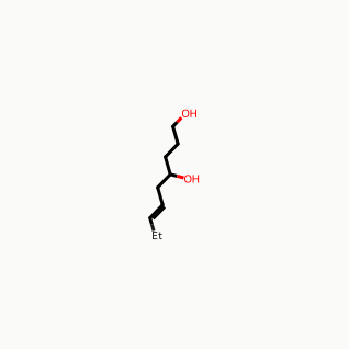 CCC=CCC(O)CCCO